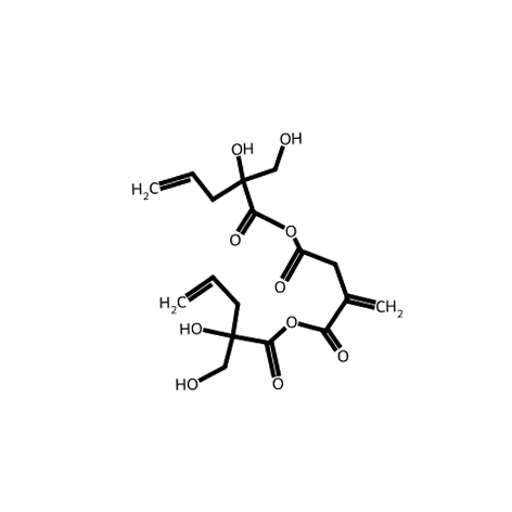 C=CCC(O)(CO)C(=O)OC(=O)CC(=C)C(=O)OC(=O)C(O)(CO)CC=C